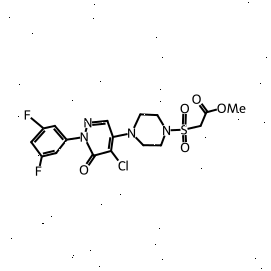 COC(=O)CS(=O)(=O)N1CCN(c2cnn(-c3cc(F)cc(F)c3)c(=O)c2Cl)CC1